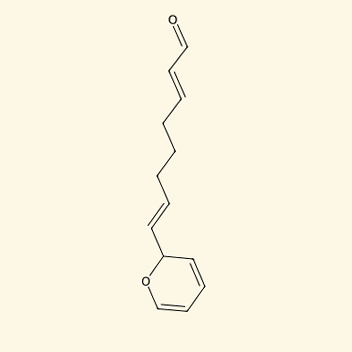 O=CC=CCCCC=CC1C=CC=CO1